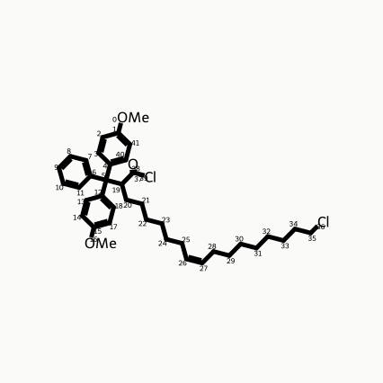 COc1ccc(C(c2ccccc2)(c2ccc(OC)cc2)C(CCCCCC/C=C\CCCCCCCCCl)C(=O)Cl)cc1